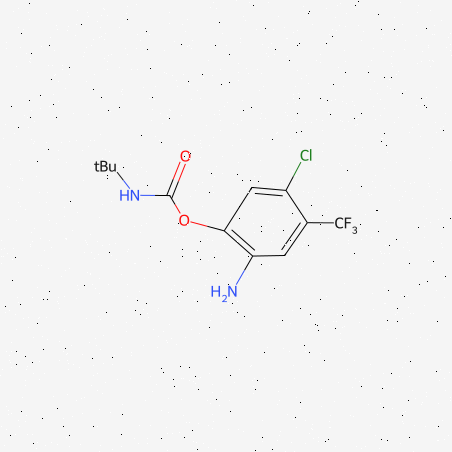 CC(C)(C)NC(=O)Oc1cc(Cl)c(C(F)(F)F)cc1N